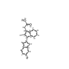 Cc1c(-c2nc3ccc(F)cc3s2)c2ccccc2n1CC(=O)O